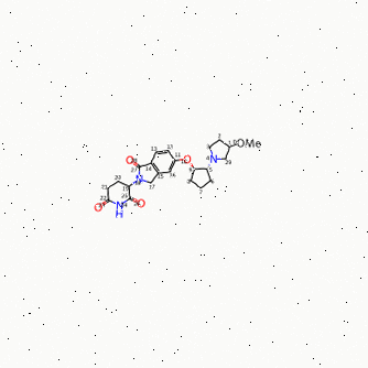 COC1CCN([C@@H]2CCC[C@H]2Oc2ccc3c(c2)CN(C2CCC(=O)NC2=O)C3=O)C1